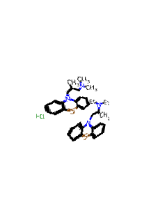 CC(CN(C)C)CN1c2ccccc2Sc2ccccc21.CCN(CC)C(C)CN1c2ccccc2Sc2ccccc21.Cl